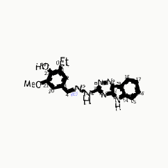 CCc1cc(/C=N/Nc2nnc3c(n2)[nH]c2ccccc23)cc(OC)c1O